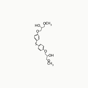 COCC(O)COc1ccc(Sc2ccc(OCC(O)COC)cc2)cc1